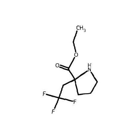 CCOC(=O)C1(CC(F)(F)F)CCCN1